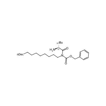 CCCCCCCCCCCCCCCCCCN(C(=O)OCc1ccccc1)C(=O)[C@@H](N)[C@@H](C)CC